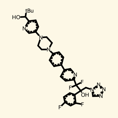 CC(C)(C)C(O)c1ccc(N2CCN(c3ccc(-c4ccc(C(F)(F)[C@](O)(Cn5cnnn5)c5ccc(F)cc5F)nc4)cc3)CC2)cn1